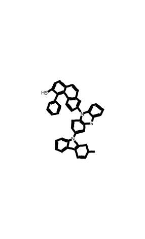 CC1C=Cc2c(n(-c3ccc4c(c3)Sc3ccccc3N4c3ccc4c(ccc5ccc(S)c(-c6ccccc6)c54)c3)c3ccccc23)C1